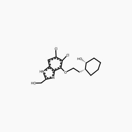 OCc1nc2c(OCC[C@H]3CCCC[C@H]3O)c(Cl)c(Cl)cc2[nH]1